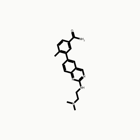 Cc1ccc(C(N)=O)cc1-c1ccc2nc(NCCN(C)C)ncc2c1